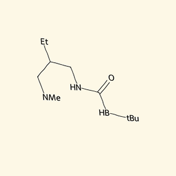 CCC(CNC)CNC(=O)BC(C)(C)C